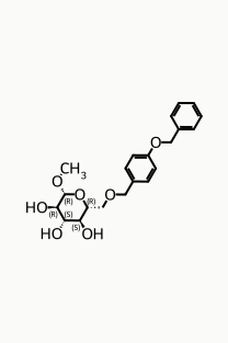 CO[C@@H]1O[C@H](COCc2ccc(OCc3ccccc3)cc2)[C@@H](O)[C@H](O)[C@H]1O